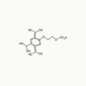 CCCC(O)c1cc(=C(C#N)C#N)c(OCCOS(=O)(=O)O)cc1=C(C#N)C#N